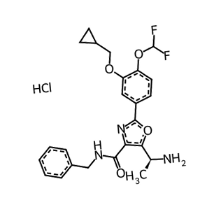 C[C@H](N)c1oc(-c2ccc(OC(F)F)c(OCC3CC3)c2)nc1C(=O)NCc1ccccc1.Cl